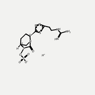 N=C(N)NCCc1nnc([C@@H]2CC[C@@H]3CN2C(=O)N3OS(=O)(=O)[O-])s1.[H+]